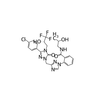 CC(O)CNC(=O)c1ccccc1-n1cnc(Cn2nc(-c3ccc(Cl)cc3)n(C[C@H](O)C(F)(F)F)c2=O)n1